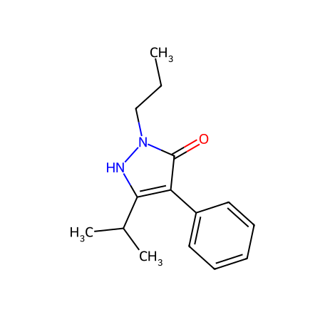 CCCn1[nH]c(C(C)C)c(-c2ccccc2)c1=O